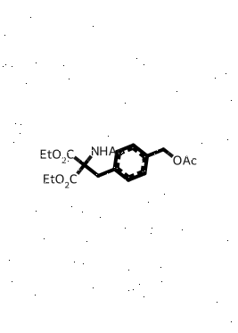 CCOC(=O)C(Cc1ccc(COC(C)=O)cc1)(NC(C)=O)C(=O)OCC